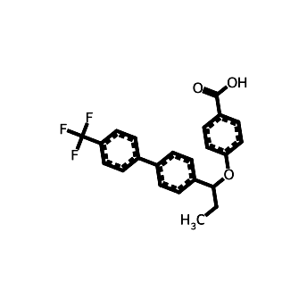 CCC(Oc1ccc(C(=O)O)cc1)c1ccc(-c2ccc(C(F)(F)F)cc2)cc1